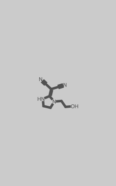 N#CC(C#N)=C1NCCN1CCO